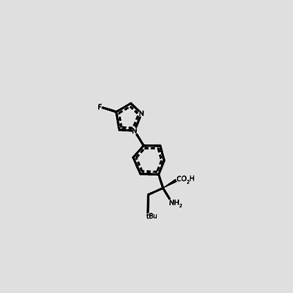 CC(C)(C)C[C@](N)(C(=O)O)c1ccc(-n2cc(F)cn2)cc1